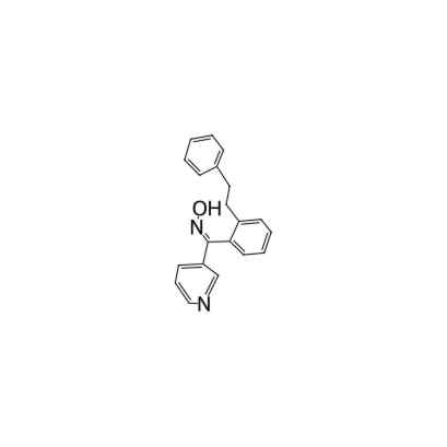 ON=C(c1cccnc1)c1ccccc1CCc1ccccc1